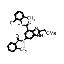 COCc1nc2c(C(=O)Nc3c(C)cccc3Cl)cc(NC(=O)c3ccccc3C(F)(F)F)cc2[nH]1